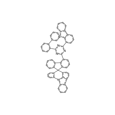 c1ccc(-c2ccccc2-c2nc(-c3cccc4c3-c3ccccc3C43c4ccccc4-n4c5ccccc5c5cccc3c54)nc(-c3cccc4c3oc3ccccc34)n2)cc1